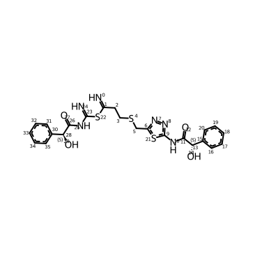 N=C(CCSCc1nnc(NC(=O)[C@@H](O)c2ccccc2)s1)SC(=N)NC(=O)[C@@H](O)c1ccccc1